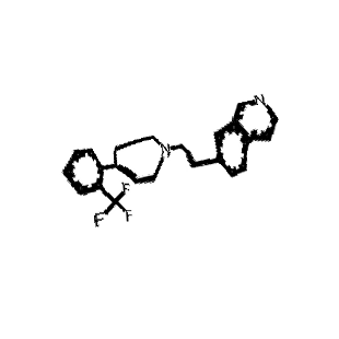 FC(F)(F)c1ccccc1C1=CCN(CCc2ccc3ccncc3c2)CC1